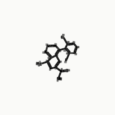 Cc1cc(C(=O)O)cc2c(-c3c(F)cccc3Cl)ccnc12